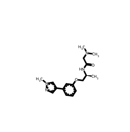 C[C@@H](COc1c[c]cc(-c2cnn(C)c2)c1)NC(=O)CN(C)C